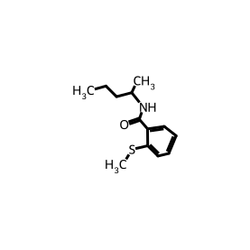 CCCC(C)NC(=O)c1ccccc1SC